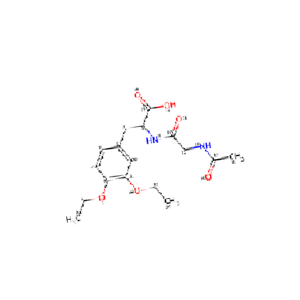 CCOc1ccc(CC(NC(=O)CNC(C)=O)C(=O)O)cc1OCC